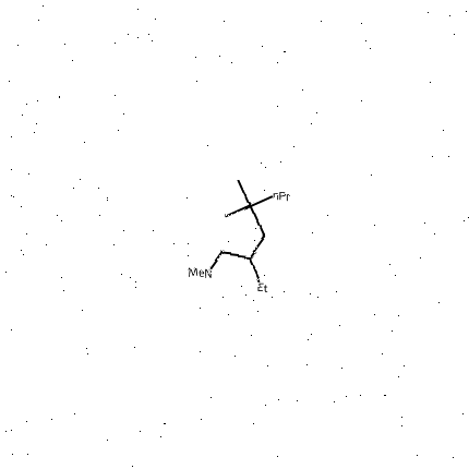 CCCC(C)(C)CC(CC)CNC